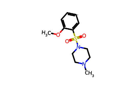 COc1cc[c]cc1S(=O)(=O)N1CCN(C)CC1